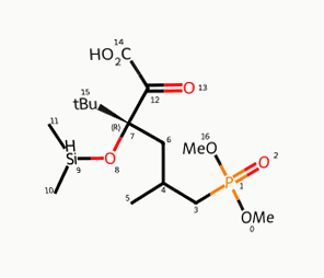 COP(=O)(CC(C)C[C@](O[SiH](C)C)(C(=O)C(=O)O)C(C)(C)C)OC